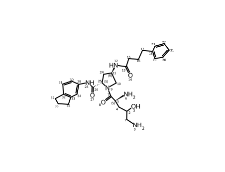 NCC(O)C[C@H](N)C(=O)N1C[C@H](NC(=O)CCCc2ccccc2)C[C@H]1C(=O)Nc1ccc2c(c1)CCC2